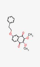 COC1=C(OC)C(=O)c2cc(OCCc3ccccc3)ccc2C1=O